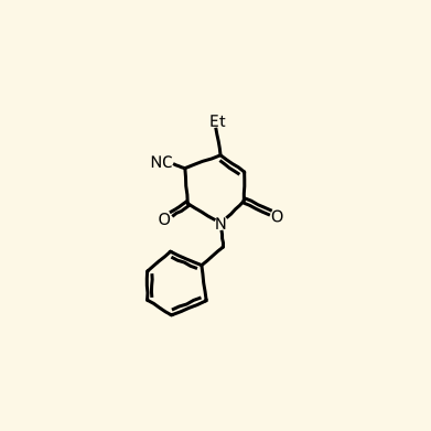 CCC1=CC(=O)N(Cc2ccccc2)C(=O)C1C#N